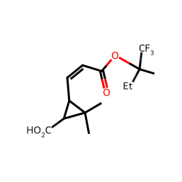 CCC(C)(OC(=O)/C=C\C1C(C(=O)O)C1(C)C)C(F)(F)F